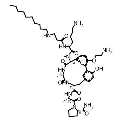 CCCCCCCCCCNCCC(=O)N[C@@H](CCCCN)C(=O)N(C)[C@@H]1C(=O)N[C@@H](C)C(=O)N[C@H](C(=O)N[C@@H](C)C(=O)N2CCC[C@H]2C(N)=O)Cc2ccc(O)c(c2)-c2cc1ccc2OCCN